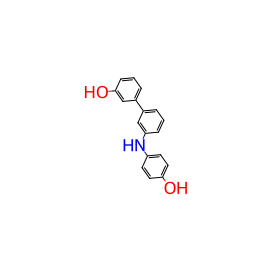 Oc1ccc(Nc2cccc(-c3cccc(O)c3)c2)cc1